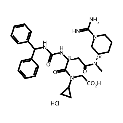 CN(C(=O)C[C@H](NC(=O)NC(c1ccccc1)c1ccccc1)C(=O)N(CC(=O)O)C1CC1)[C@H]1CCCN(C(=N)N)C1.Cl